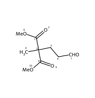 COC(=O)C(C)(CCC=O)C(=O)OC